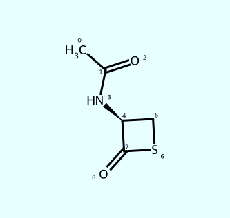 CC(=O)N[C@H]1CSC1=O